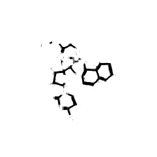 CC(C)OC(=O)[C@H](C)NP(=O)(OC[C@@]1(C(F)F)O[C@@H](n2ccc(N)nc2=O)[C@H](O)[C@H]1F)Oc1cccc2ccccc12